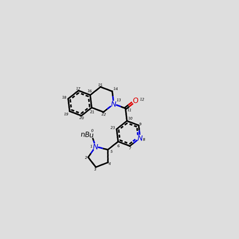 CCCCN1CCCC1c1cncc(C(=O)N2CCc3ccccc3C2)c1